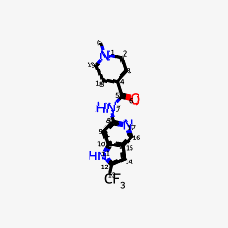 CN1CCC(C(=O)Nc2cc3[nH]c(C(F)(F)F)cc3cn2)CC1